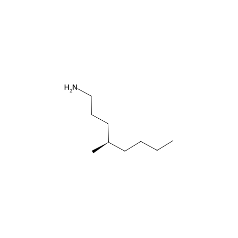 CCCC[C@@H](C)CCCN